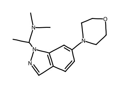 CC(N(C)C)n1ncc2ccc(N3CCOCC3)cc21